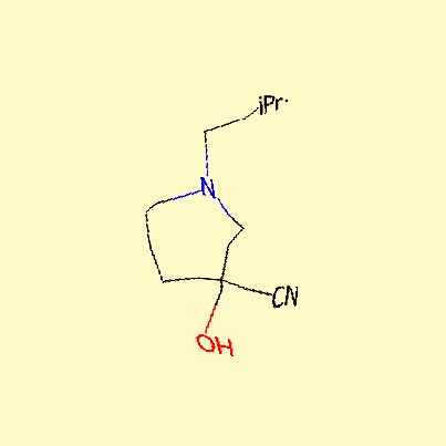 C[C](C)CN1CCC(O)(C#N)C1